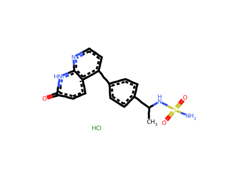 CC(NS(N)(=O)=O)c1ccc(-c2ccnc3[nH]c(=O)ccc23)cc1.Cl